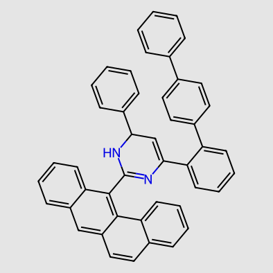 C1=C(c2ccccc2-c2ccc(-c3ccccc3)cc2)N=C(c2c3ccccc3cc3ccc4ccccc4c23)NC1c1ccccc1